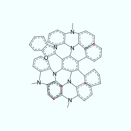 CN1c2ccccc2N(c2c(-c3ccccc3)c(-c3ccccc3)c(N3c4ccccc4N(C)c4ccccc43)c(N3c4ccccc4N(C)c4ccccc43)c2-c2nc3ccccc3o2)c2ccccc21